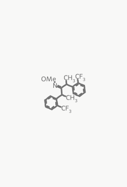 CON=C(C(C)c1ccccc1C(F)(F)F)C(C)c1ccccc1C(F)(F)F